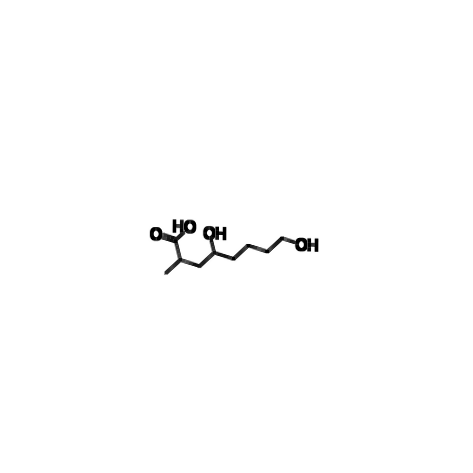 CC(CC(O)CCCCO)C(=O)O